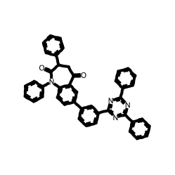 O=C1CC(c2ccccc2)C(=O)N(c2ccccc2)c2ccc(-c3cccc(-c4nc(-c5ccccc5)nc(-c5ccccc5)n4)c3)cc21